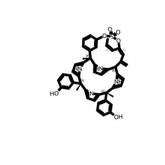 C=C1/C=C(\C=C/C)OS(=O)(=O)Oc2cccc(c2)[C@]2(C)c3ccc([nH]3)[C@@]1(C)c1ccc([nH]1)[C@](C)(c1cccc(O)c1)c1ccc([nH]1)[C@](C)(c1cccc(O)c1)c1ccc2[nH]1